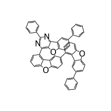 c1ccc(-c2ccc3oc4c(-c5cccc6oc7ccc(-c8cccc9oc%10ccc(-c%11ccccc%11)cc%10c89)cc7c56)nc(-c5ccccc5)nc4c3c2)cc1